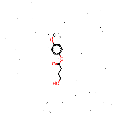 COc1ccc(OC(=O)CCCO)cc1